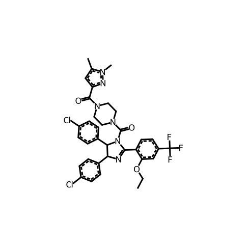 CCOc1cc(C(F)(F)F)ccc1C1=NC(c2ccc(Cl)cc2)C(c2ccc(Cl)cc2)N1C(=O)N1CCN(C(=O)c2cc(C)n(C)n2)CC1